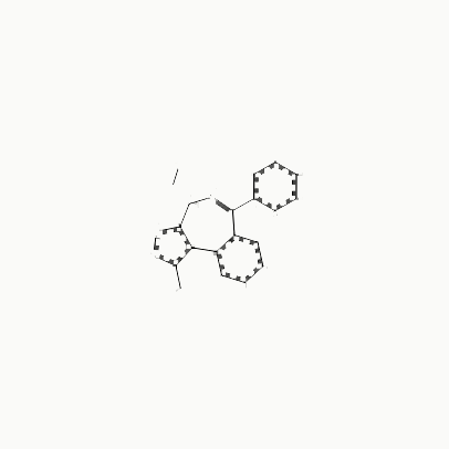 Cc1noc2c1-c1ccccc1C(c1ccccc1)=N[C@H]2CC(=O)O